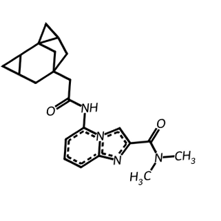 CN(C)C(=O)c1cn2c(NC(=O)CC34CC5CC5C5(CC5C3)C4)cccc2n1